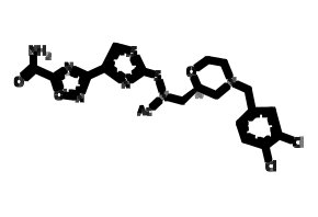 CC(=O)N(C[C@@H]1CN(Cc2ccc(Cl)c(Cl)c2)CCO1)Sc1nc(-c2noc(C(N)=O)n2)cs1